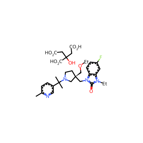 CCOC[C@]1(Cn2c(=O)n(CC)c3cc(F)ccc32)CCN(C(C)(C)c2ccc(C)nc2)C1.O=C(O)CC(O)(CC(=O)O)C(=O)O